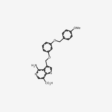 COc1ccc(COc2cccc(OCc3csc4c(C(=O)O)cnc(N)c34)c2)cc1